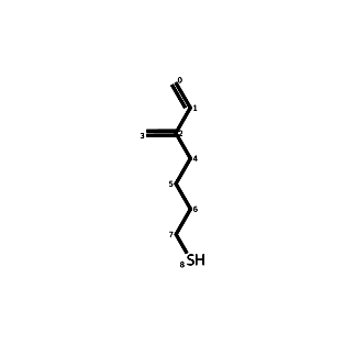 C=CC(=C)CCCCS